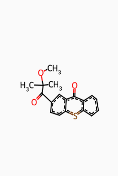 COC(C)(C)C(=O)c1ccc2sc3ccccc3c(=O)c2c1